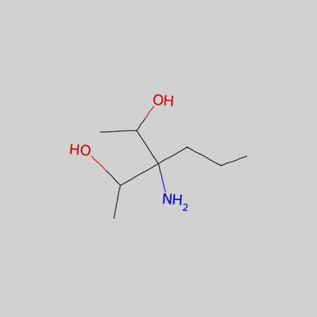 CCCC(N)(C(C)O)C(C)O